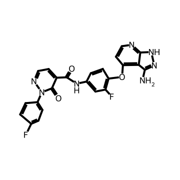 Nc1n[nH]c2nccc(Oc3ccc(NC(=O)c4ccnn(-c5ccc(F)cc5)c4=O)cc3F)c12